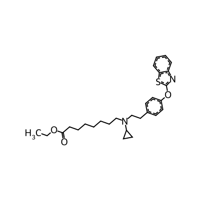 CCOC(=O)CCCCCCCN(CCc1ccc(Oc2nc3ccccc3s2)cc1)C1CC1